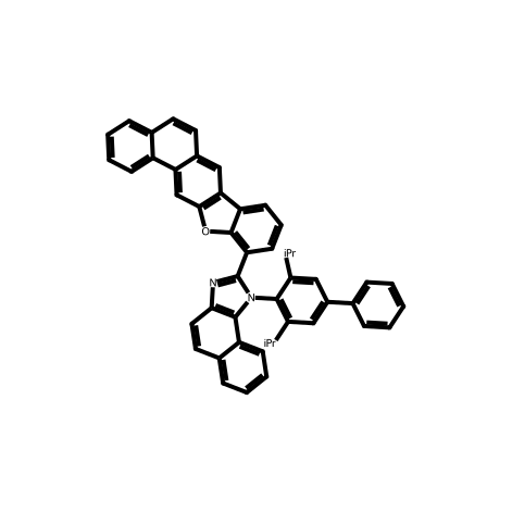 CC(C)c1cc(-c2ccccc2)cc(C(C)C)c1-n1c(-c2cccc3c2oc2cc4c(ccc5ccccc54)cc23)nc2ccc3ccccc3c21